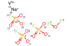 FOF.O=P([O-])([O-])F.O=P([O-])([O-])F.O=P([O-])([O-])F.[Na+].[V+5]